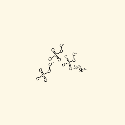 O=S(=O)([O-])O[O-].O=S(=O)([O-])O[O-].O=S(=O)([O-])O[O-].[Sb+3].[Sb+3]